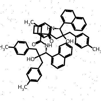 Cc1ccc(CC(O)(Cc2ccc(C)cc2)[C@@H](NC(=O)C2(C(=O)N[C@@H](c3cccc4ccccc34)C(O)(Cc3ccc(C)cc3)Cc3ccc(C)cc3)CCC2)c2cccc3ccccc23)cc1